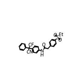 CCS(=O)(=O)c1ccc(CC(=O)Nc2ccc(C(C#N)(c3ccccc3)C(F)(F)F)cc2)cc1